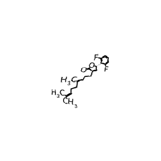 CC(C)=CCC/C(C)=C/CCC1=C[C@@H](c2c(F)cccc2F)OC1=O